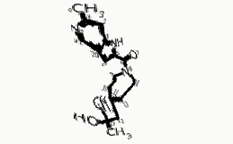 Cc1cc2[nH]c(C(=O)N3CCC(CC(C)(C)O)CC3)cc2cn1